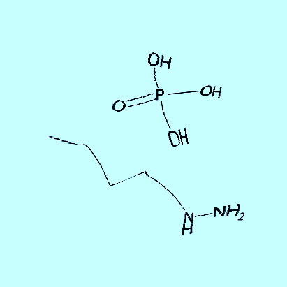 CCCCNN.O=P(O)(O)O